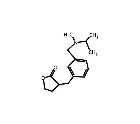 CC(C)N(C)Cc1cccc(CC2CCOC2=O)c1